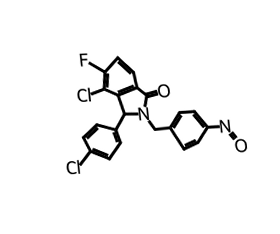 O=Nc1ccc(CN2C(=O)c3ccc(F)c(Cl)c3C2c2ccc(Cl)cc2)cc1